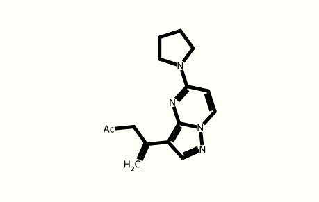 C=C(CC(C)=O)c1cnn2ccc(N3CCCC3)nc12